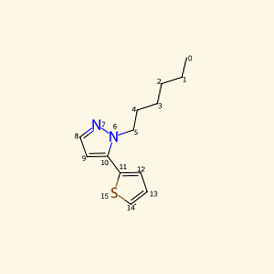 CCCCCCn1nccc1-c1cc[c]s1